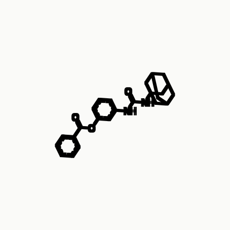 O=C(Nc1cccc(OC(=O)c2ccccc2)c1)NC12CC3CC(CC(C3)C1)C2